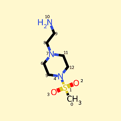 CS(=O)(=O)N1CCN(CCN)CC1